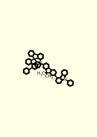 CC1(C)c2cc(-c3cccc4c3c3ccccc3n4-c3ccccc3)ccc2-c2ccc(N(c3ccc(-c4ccccc4)cc3)c3cccc4c3C3(c5ccccc5-c5ccccc53)c3ccccc3-4)cc21